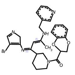 C/C(=C\C(=N/C1=C(Br)C=NC1)C1CCCN(C(=O)C2COc3ccccc3O2)C1)NCc1cccnc1